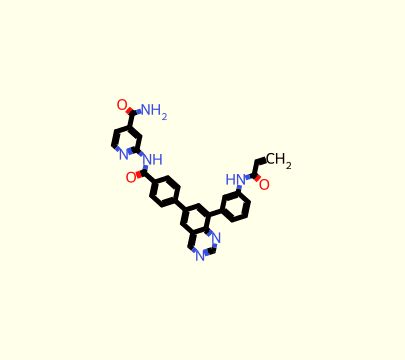 C=CC(=O)Nc1cccc(-c2cc(-c3ccc(C(=O)Nc4cc(C(N)=O)ccn4)cc3)cc3cncnc23)c1